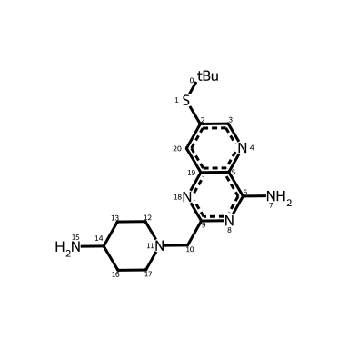 CC(C)(C)Sc1cnc2c(N)nc(CN3CCC(N)CC3)nc2c1